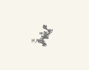 CN1CCN(CCCn2nnnc2SCC2=C(C(=O)O)N3C(=O)C(NC(=O)C(=NOC4C=CCC4)c4csc(N)n4)[C@@H]3SC2)CC1